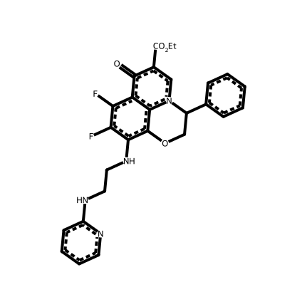 CCOC(=O)c1cn2c3c(c(NCCNc4ccccn4)c(F)c(F)c3c1=O)OCC2c1ccccc1